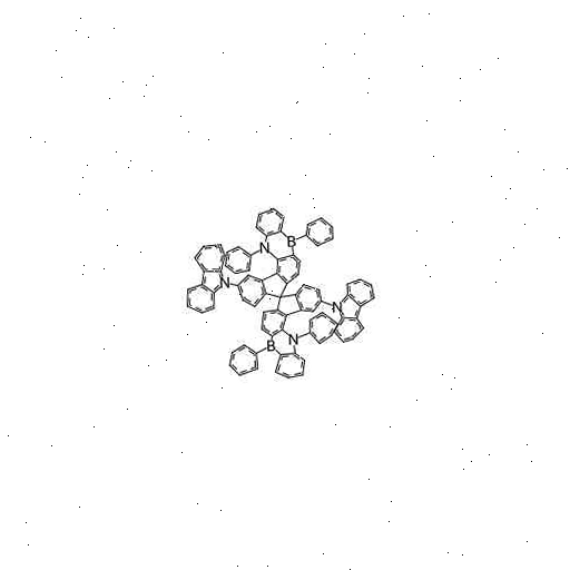 c1ccc(B2c3ccccc3N(c3ccccc3)c3c2ccc2c3-c3cc(-n4c5ccccc5c5ccccc54)ccc3C23c2ccc(-n4c5ccccc5c5ccccc54)cc2-c2c3ccc3c2N(c2ccccc2)c2ccccc2B3c2ccccc2)cc1